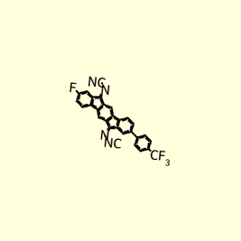 [C-]#[N+]/N=c1\c2cc(-c3ccc(C(F)(F)F)cc3)ccc2c2cc3/c(=N/C#N)c4cc(F)ccc4c3cc12